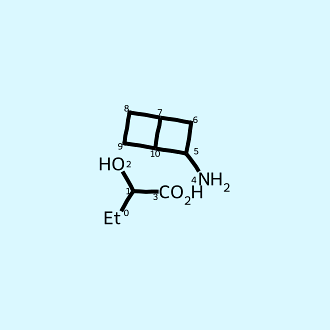 CCC(O)C(=O)O.NC1CC2CCC12